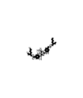 CCCCC(CC)COOCc1ccc(NC2=NC(NC)NC(Nc3ccc(C(=O)OCC(CC)CCCC)cc3)=N2)cc1